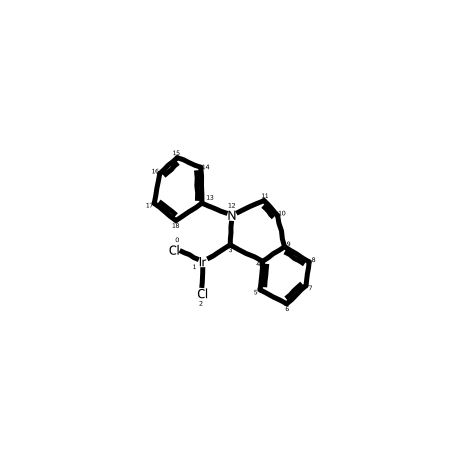 [Cl][Ir]([Cl])[CH]1c2ccccc2C=CN1c1ccccc1